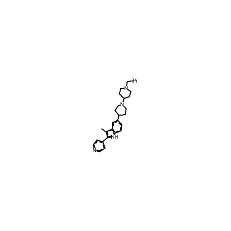 Cc1c(-c2ccncc2)[nH]c2ccc(C3CCN(C4CCN(CC(C)C)CC4)CC3)cc12